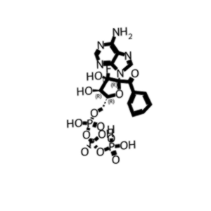 Nc1ncnc2c1ncn2[C@]1(C(=O)c2ccccc2)O[C@H](COP(=O)(O)OP(=O)(O)OP(=O)(O)O)[C@@H](O)[C@]1(O)F